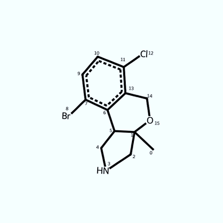 CC12CNCC1c1c(Br)ccc(Cl)c1CO2